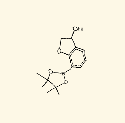 CC1(C)OB(c2cccc3c2OCC3O)OC1(C)C